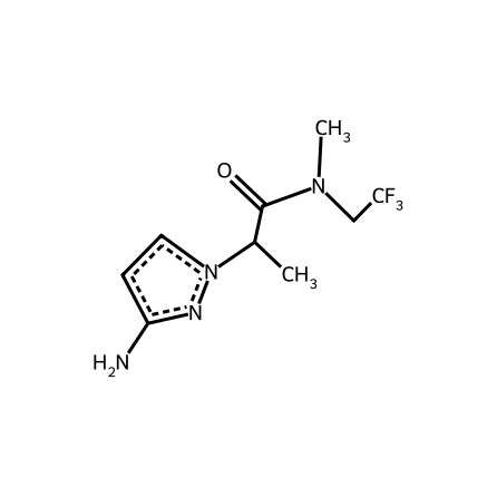 CC(C(=O)N(C)CC(F)(F)F)n1ccc(N)n1